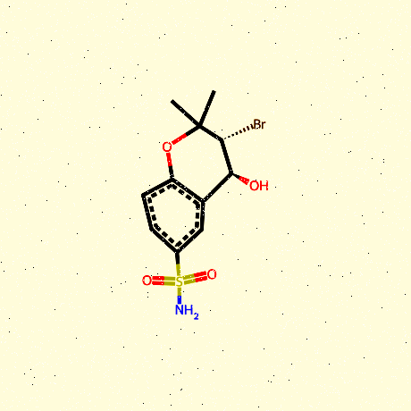 CC1(C)Oc2ccc(S(N)(=O)=O)cc2[C@H](O)[C@H]1Br